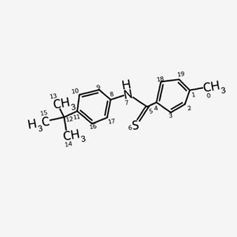 Cc1ccc(C(=S)Nc2ccc(C(C)(C)C)cc2)cc1